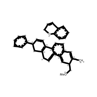 C1=Cc2ccccc2OC1.COCC1C=c2c(ccc3c2=CCC2=C3C=CC(c3ccccc3)C2)C=C1C